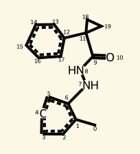 Cc1ccccc1NNC(=O)C1(c2ccccc2)CC1